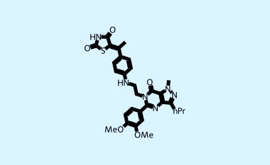 CCCc1nn(C)c2c(=O)n(CCNc3ccc(/C(C)=C4\SC(=O)NC4=O)cc3)c(-c3ccc(OC)c(OC)c3)nc12